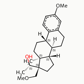 COC[C@]1([C@H](C)O)CC[C@H]2[C@@H]3CCc4cc(OC)ccc4[C@H]3CC[C@@]21C